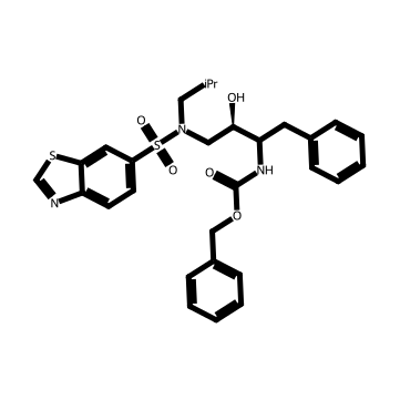 CC(C)CN(C[C@@H](O)C(Cc1ccccc1)NC(=O)OCc1ccccc1)S(=O)(=O)c1ccc2ncsc2c1